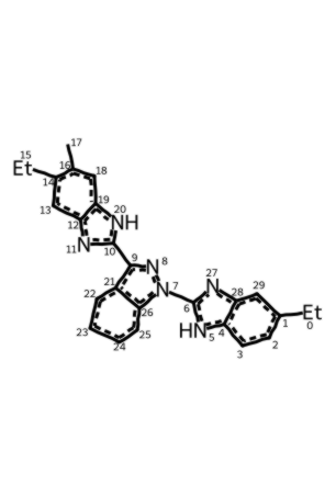 CCc1ccc2[nH]c(-n3nc(-c4nc5cc(CC)c(C)cc5[nH]4)c4ccccc43)nc2c1